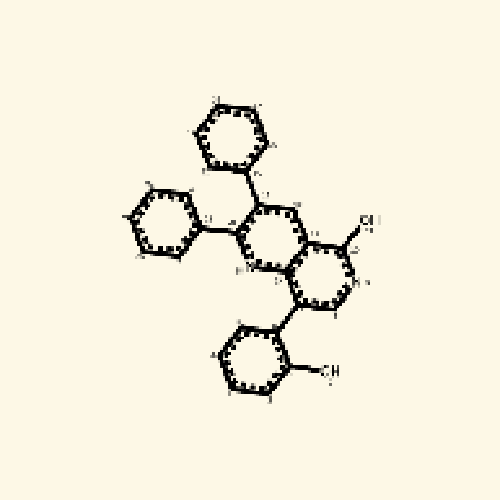 Oc1ccccc1-c1cnc(O)c2cc(-c3ccccc3)c(-c3cc[c]cc3)nc12